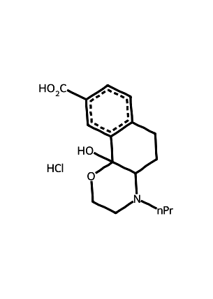 CCCN1CCOC2(O)c3cc(C(=O)O)ccc3CCC12.Cl